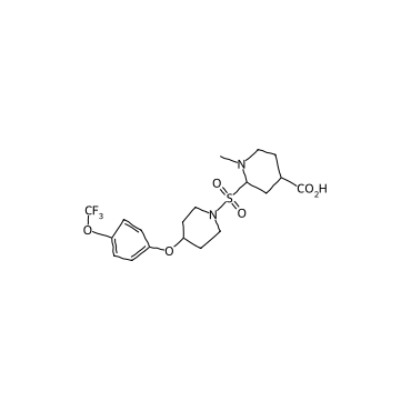 CN1CCC(C(=O)O)CC1S(=O)(=O)N1CCC(Oc2ccc(OC(F)(F)F)cc2)CC1